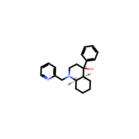 O[C@]1(c2ccccc2)CCN(Cc2ccccn2)[C@@H]2CCCC[C@@H]21